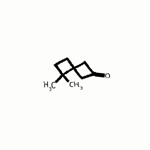 CC1(C)CCC12CC(=O)C2